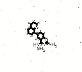 NNc1nc(N)nc2ccc(-c3cccc4cccnc34)cc12